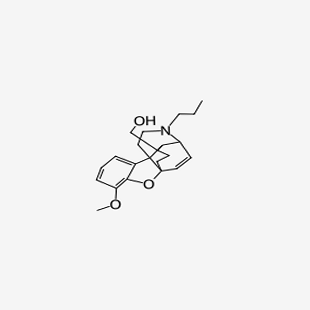 CCCN1CCC23c4cccc(OC)c4OC24C=CC1C3C(CO)CC4